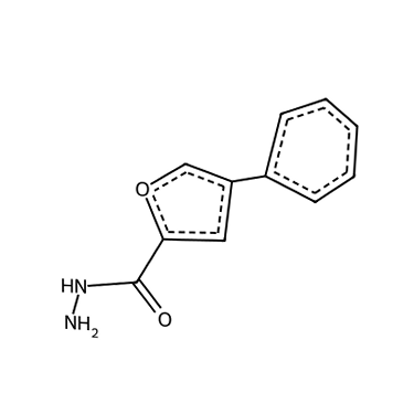 NNC(=O)c1cc(-c2ccccc2)co1